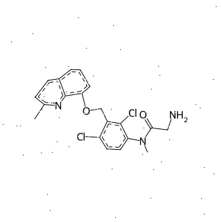 Cc1ccc2cccc(OCc3c(Cl)ccc(N(C)C(=O)CN)c3Cl)c2n1